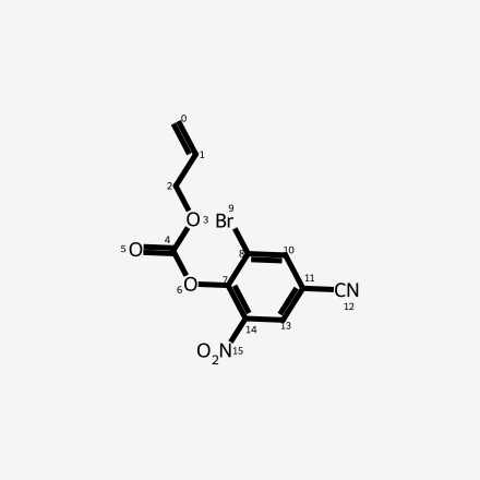 C=CCOC(=O)Oc1c(Br)cc(C#N)cc1[N+](=O)[O-]